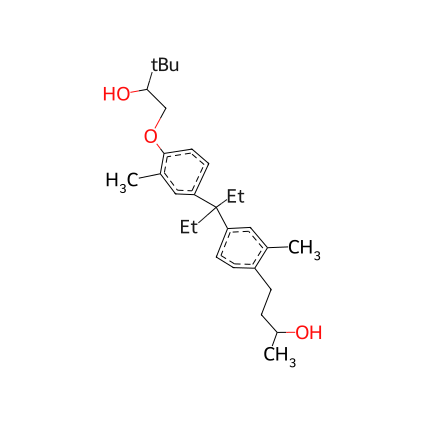 CCC(CC)(c1ccc(CCC(C)O)c(C)c1)c1ccc(OCC(O)C(C)(C)C)c(C)c1